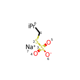 CC(C)CSS(=O)(=O)[O-].[Na+]